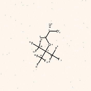 CC(C[O-])OC(C(F)(F)F)(C(F)(F)F)C(F)(F)F.[Li+]